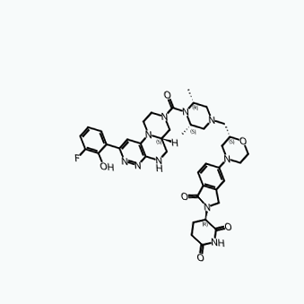 C[C@@H]1CN(C[C@H]2CN(c3ccc4c(c3)CN([C@@H]3CCC(=O)NC3=O)C4=O)CCO2)C[C@H](C)N1C(=O)N1CCN2c3cc(-c4cccc(F)c4O)nnc3NC[C@H]2C1